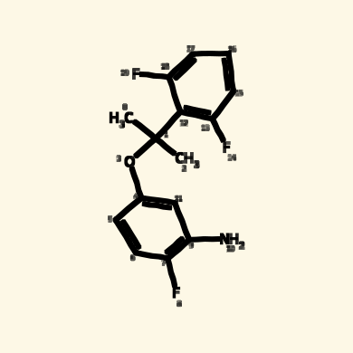 CC(C)(Oc1ccc(F)c(N)c1)c1c(F)cccc1F